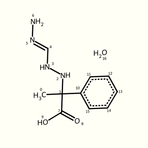 CC(NNC=NN)(C(=O)O)c1ccccc1.O